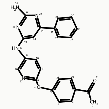 CC(=O)c1ccc(Oc2ccc(Nc3cc(-c4ccccc4)nc(N)n3)cn2)cc1